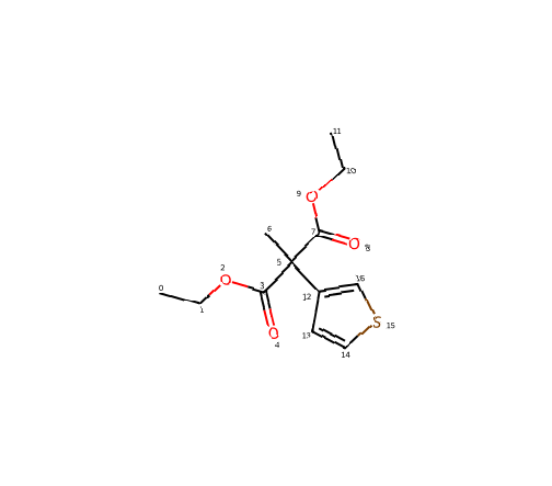 CCOC(=O)C(C)(C(=O)OCC)c1ccsc1